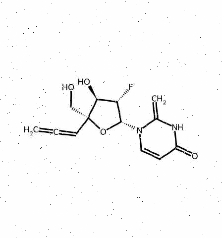 C=C=C[C@]1(CO)O[C@@H](N2C=CC(=O)NC2=C)[C@@H](F)[C@@H]1O